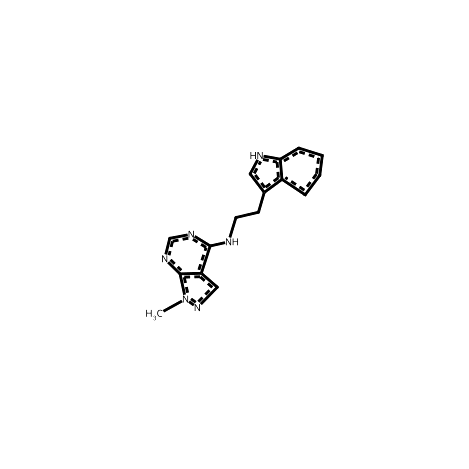 Cn1ncc2c(NCCc3c[nH]c4ccccc34)ncnc21